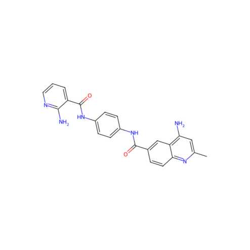 Cc1cc(N)c2cc(C(=O)Nc3ccc(NC(=O)c4cccnc4N)cc3)ccc2n1